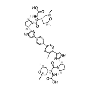 Cc1cc(-c2ccc(-c3c[nH]c([C@@H]4CC[C@H](C)N4C(=O)[C@@H](NC(=O)O)C4C[C@@H](C)O[C@H](C)C4)n3)cc2)ccc1-c1c[nH]c([C@@H]2CC[C@H](C)N2C(=O)[C@@H](NC(=O)O)C2C[C@@H](C)O[C@H](C)C2)n1